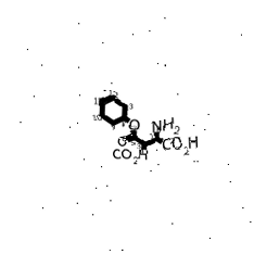 NC(C(=O)O)C(C(=O)O)C(=O)OC1CCCCC1